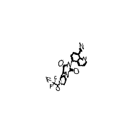 N#Cc1ccc(N2C(=O)C3C4CC(CN4C(=O)C(F)(F)F)N3C2=O)c2cccnc12